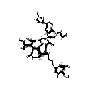 Cc1cc(OCCCc2c3n(c4c(-c5c(C)nn(C)c5C)c(Cl)ccc24)C(C)CN(c2cn(CCCl)c4ccc(-c5ncn(C)n5)cc24)C3=O)cc(C)c1Cl